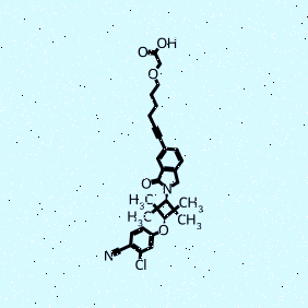 CC1(C)[C@H](Oc2ccc(C#N)c(Cl)c2)C(C)(C)[C@H]1N1Cc2ccc(C#CCCCCOCC(=O)O)cc2C1=O